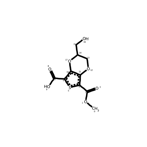 COC(=O)c1sc(C(=O)O)c2c1OCC(CO)O2